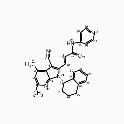 Cc1cc(C)c2c(C#N)c(C=CC(=O)Nc3ccncc3)n([C@H]3CCCc4ccccc43)c2n1